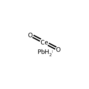 [O]=[Ce]=[O].[PbH2]